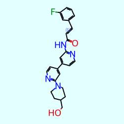 O=C(/C=C/c1cccc(F)c1)Nc1cc(-c2ccnc(N3CCC(CO)CC3)c2)ccn1